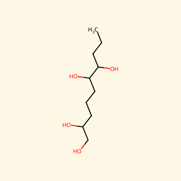 CCCC(O)C(O)CCCC(O)CO